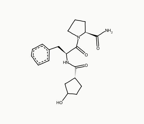 NC(=O)[C@@H]1CCCN1C(=O)[C@H](Cc1ccccc1)NC(=O)[C@@H]1CCC(O)C1